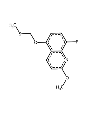 COc1ccc2c(OCSC)ccc(F)c2n1